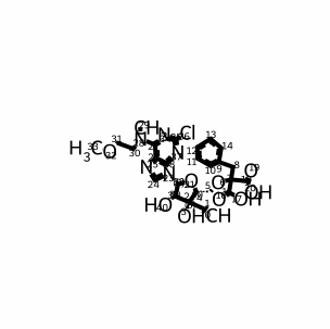 C#C[C@@]1(O)[C@@H](COC(Cc2ccccc2)(C(=O)O)C(=O)O)O[C@@H](n2cnc3c(N(C)CCOC)nc(Cl)nc32)[C@@H]1O